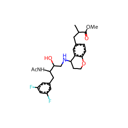 COC(=O)C(C)Cc1ccc2c(c1)C(NCC(O)C(Cc1cc(F)cc(F)c1)NC(C)=O)CCO2